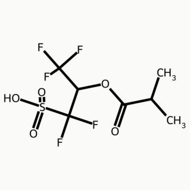 CC(C)C(=O)OC(C(F)(F)F)C(F)(F)S(=O)(=O)O